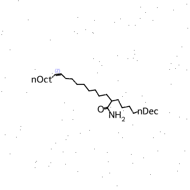 CCCCCCCC/C=C\CCCCCCCCC(CCCCCCCCCCCCCC)C(N)=O